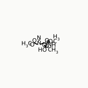 CCO[P@@](=O)(NC(C)C(=O)O)SCCN(C#N)CC(=O)OC